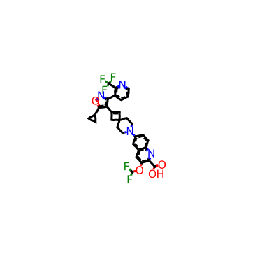 O=C(O)c1nc2ccc(N3CCC4(C=C(c5c(-c6cccnc6C(F)(F)F)noc5C5CC5)C4)CC3)cc2cc1OC(F)F